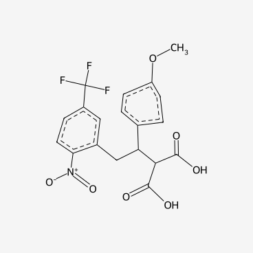 COc1ccc(C(Cc2cc(C(F)(F)F)ccc2[N+](=O)[O-])C(C(=O)O)C(=O)O)cc1